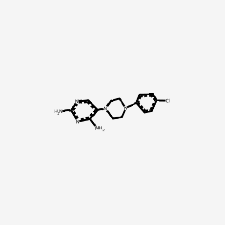 Nc1ncc(N2CCN(c3ccc(Cl)cc3)CC2)c(N)n1